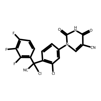 N#Cc1cn(-c2ccc(C(Cl)(C#N)c3ccc(F)c(F)c3F)c(Cl)c2)c(=O)[nH]c1=O